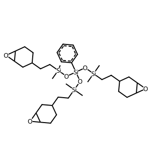 C[Si](C)(CCC1CCC2OC2C1)O[Si](O[Si](C)(C)CCC1CCC2OC2C1)(O[Si](C)(C)CCC1CCC2OC2C1)c1ccccc1